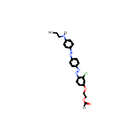 CCC(=O)OCCOc1ccc(N=Nc2ccc(N=Nc3ccc(N(CC)CCC#N)cc3)cc2)c(Cl)c1